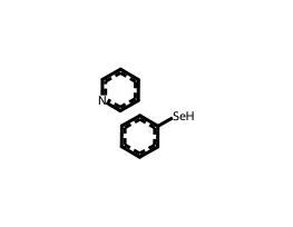 [SeH]c1ccccc1.c1ccncc1